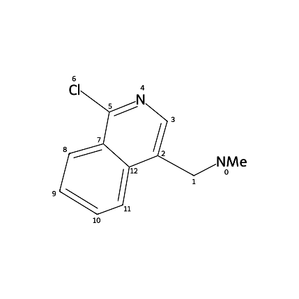 CNCc1cnc(Cl)c2ccccc12